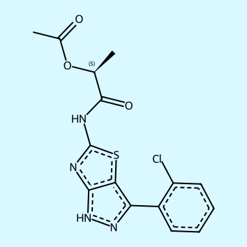 CC(=O)O[C@@H](C)C(=O)Nc1nc2[nH]nc(-c3ccccc3Cl)c2s1